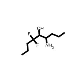 CCCC(N)C(O)C(F)(F)CCC